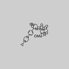 CO[C@@H]1CN(C(=O)C(CC(C)(C)C)NC(=O)c2ccc(N3CCN(C4CC4)CC3)cc2)[C@@H]2C(=O)CO[C@@H]21